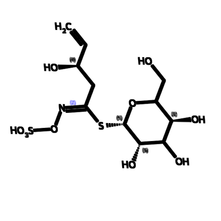 C=C[C@H](O)C/C(=N/OS(=O)(=O)O)S[C@@H]1OC(CO)[C@@H](O)C(O)[C@@H]1O